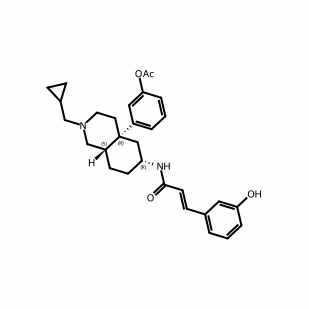 CC(=O)Oc1cccc([C@@]23CCN(CC4CC4)C[C@H]2CC[C@@H](NC(=O)C=Cc2cccc(O)c2)C3)c1